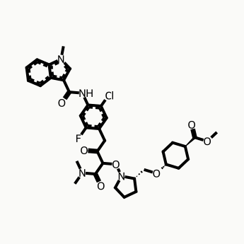 COC(=O)[C@H]1CC[C@H](OC[C@@H]2CCCN2OC(C(=O)Cc2cc(Cl)c(NC(=O)c3cn(C)c4ccccc34)cc2F)C(=O)N(C)C)CC1